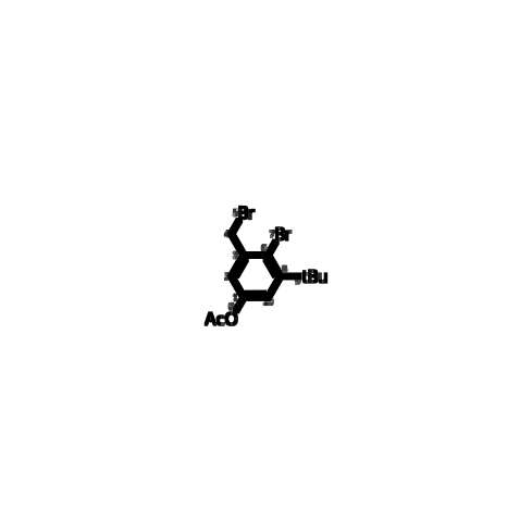 CC(=O)Oc1cc(CBr)c(Br)c(C(C)(C)C)c1